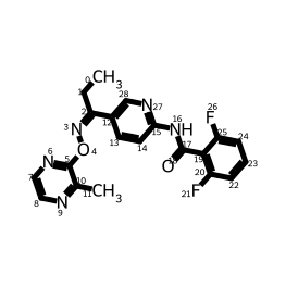 CC/C(=N/Oc1nccnc1C)c1ccc(NC(=O)c2c(F)cccc2F)nc1